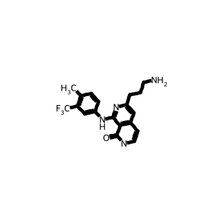 Cc1ccc(Nc2nc(CCCN)cc3c2C(=O)[N]C=C3)cc1C(F)(F)F